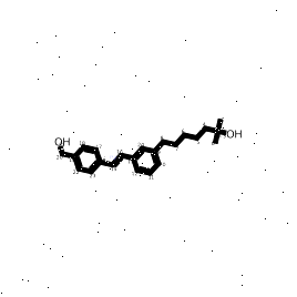 CC(C)(O)CCCCCc1cccc(/C=C/c2ccc(CO)cc2)c1